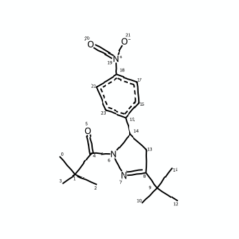 CC(C)(C)C(=O)N1N=C(C(C)(C)C)CC1c1ccc([N+](=O)[O-])cc1